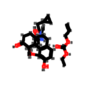 C=CCOC(=O)OCC.O=C1CC[C@@]2(O)[C@H]3Cc4ccc(O)c5c4[C@@]2(CCN3CC2CC2)[C@H]1O5